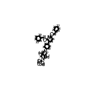 CC(C)(C)OC(=O)N1C[C@@H]2CN(c3ccc(-c4ccc(OCc5ccccc5)nc4OCc4ccccc4)cc3)C[C@H]2C1